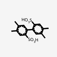 Cc1cc(-c2cc(C)c(C)cc2S(=O)(=O)O)c(S(=O)(=O)O)cc1C